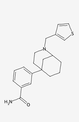 NC(=O)c1cccc(C23CCCC(C2)N(Cc2ccsc2)CC3)c1